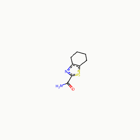 NC(=O)c1nc2c(s1)CCCC2